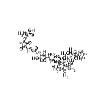 CN[C@H](C(=O)N[C@H](C(=O)N(C)[C@H](/C=C(\C)C(=O)N[C@H](CCC(=O)N[C@H](CCC(=O)NCCN1C(=O)CC(SC[C@H](N)C(=O)O)C1=O)C(=O)O)C(=O)O)C(C)C)C(C)(C)C)C(C)(C)c1ccccc1